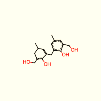 Cc1cc(CO)c(O)c(CC2=CC(C)CC(CO)=C2O)c1